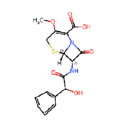 COC1=C(C(=O)O)N2C(=O)[C@@H](NC(=O)C(O)c3ccccc3)[C@@H]2SC1